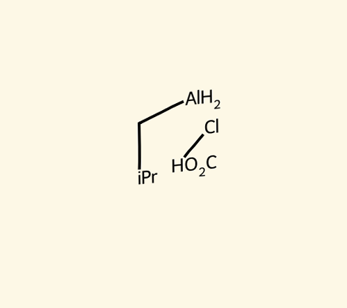 CC(C)[CH2][AlH2].O=C(O)Cl